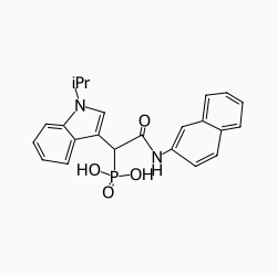 CC(C)n1cc(C(C(=O)Nc2ccc3ccccc3c2)P(=O)(O)O)c2ccccc21